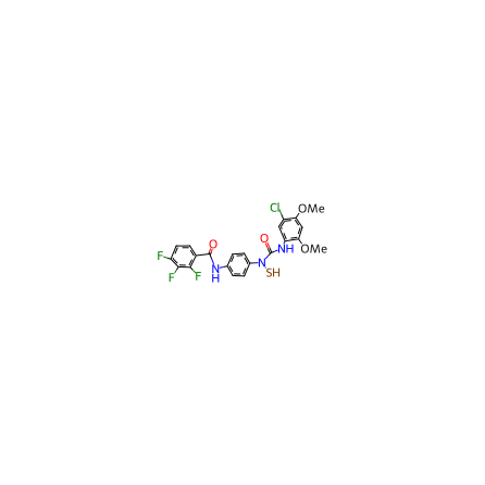 COc1cc(OC)c(NC(=O)N(S)c2ccc(NC(=O)c3ccc(F)c(F)c3F)cc2)cc1Cl